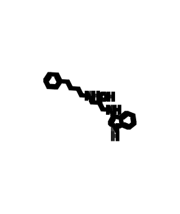 OC(CNCCCCc1ccccc1)CNc1c[nH]c2ccccc12